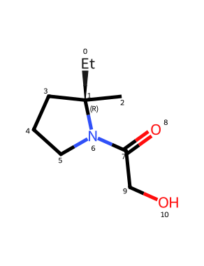 CC[C@]1(C)CCCN1C(=O)CO